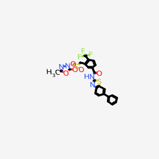 Cc1nnc(OS(=O)(=O)Cc2cc(C(=O)Nc3nc4ccc(-c5ccccc5)cc4s3)ccc2C(F)(F)F)o1